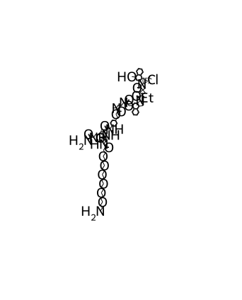 CCC1(C(=O)N2CCc3c2cc(OC(=O)N(C)CCN(C)C(=O)OCc2ccc(NC(=O)[C@H](CCCNC(N)=O)NC(=O)CNC(=O)CCOCCOCCOCCOCCOCCOCCN)cc2)c2ccccc32)CC(C)(C(=O)N2C[C@@H](CCl)c3c2cc(O)c2ccccc32)C1